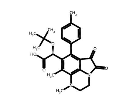 Cc1ccc(-c2c3c4c(c(C)c2[C@H](OC(C)(C)C)C(=O)O)N(C)CCN4C(=O)C3=O)cc1